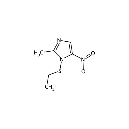 [CH2]CSn1c([N+](=O)[O-])cnc1C